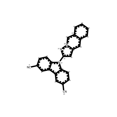 N#Cc1ccc2c(c1)c1cc(C#N)ccc1n2-c1cc2cc3ccccc3cn2n1